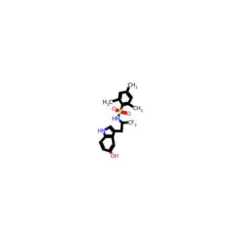 Cc1cc(C)c(S(=O)(=O)NC(Cc2c[nH]c3ccc(O)cc23)C(F)(F)F)c(C)c1